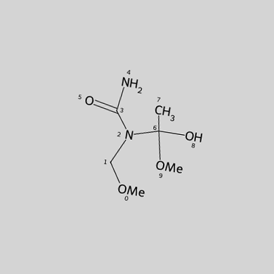 COCN(C(N)=O)C(C)(O)OC